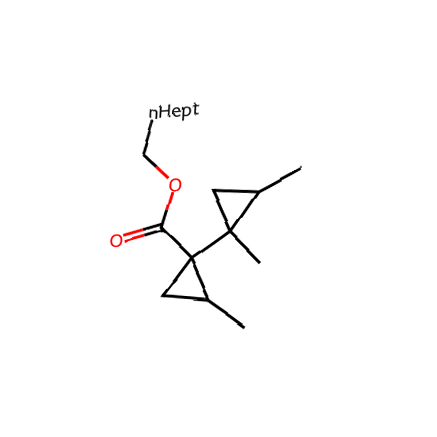 CCCCCCCCOC(=O)C1(C2(C)CC2C)CC1C